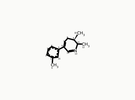 Cc1cccc(C2=CC[C@@H](C)C(C)N=C2)c1